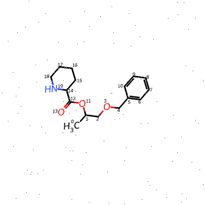 CC(COCc1ccccc1)OC(=O)C1CCCCN1